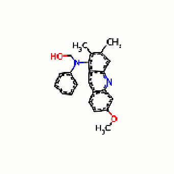 COc1ccc2cc3c(N(CO)c4ccccc4)c(C)c(C)cc3nc2c1